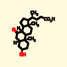 C[C@H](CCC(=O)O)C1CCC2[C@H]3C(=O)C[C@@H]4C[C@H](O)CC[C@]4(C)C3CC[C@@]21C